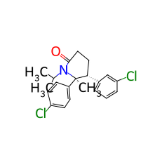 CC(C)N1C(=O)CC[C@H](c2cccc(Cl)c2)[C@@]1(C)c1ccc(Cl)cc1